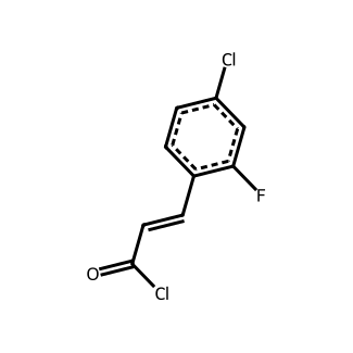 O=C(Cl)/C=C/c1ccc(Cl)cc1F